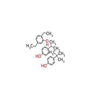 CC(C)(C)c1ccc(O)cc1.CC(C)c1ccc(O)cc1.CCc1ccc(CC)c(O)c1